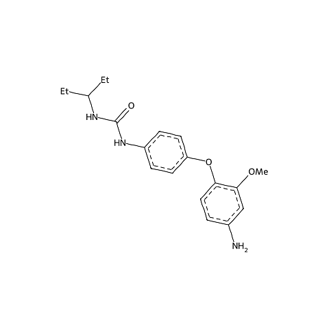 CCC(CC)NC(=O)Nc1ccc(Oc2ccc(N)cc2OC)cc1